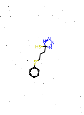 SC1(CCCSc2ccccc2)N=NN=N1